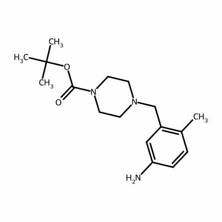 Cc1ccc(N)cc1CN1CCN(C(=O)OC(C)(C)C)CC1